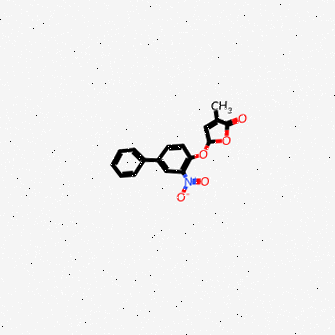 CC1=CC(Oc2ccc(-c3ccccc3)cc2[N+](=O)[O-])OC1=O